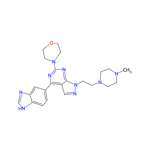 CN1CCN(CCn2ncc3c(-c4ccc5[nH]cnc5c4)nc(N4CCOCC4)nc32)CC1